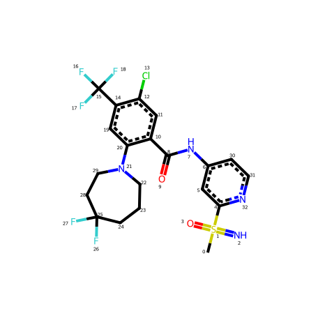 CS(=N)(=O)c1cc(NC(=O)c2cc(Cl)c(C(F)(F)F)cc2N2CCCC(F)(F)CC2)ccn1